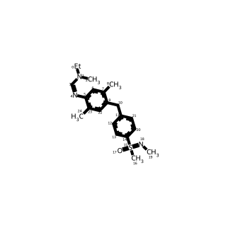 CCN(C)/C=N\c1cc(C)c(Cc2ccc(S(C)(=O)=NC)cc2)cc1C